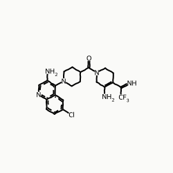 N=C(C1=C(N)CN(C(=O)C2CCN(c3c(N)cnc4ccc(Cl)cc34)CC2)CC1)C(F)(F)F